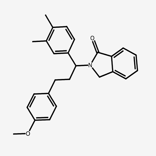 COc1ccc(CCC(c2ccc(C)c(C)c2)N2Cc3ccccc3C2=O)cc1